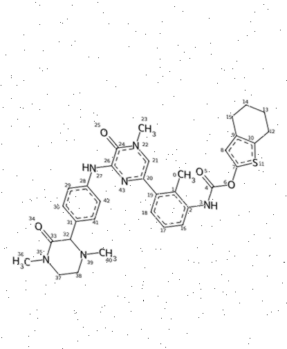 Cc1c(NC(=O)Oc2cc3c(s2)CCCC3)cccc1-c1cn(C)c(=O)c(Nc2ccc(C3C(=O)N(C)CCN3C)cc2)n1